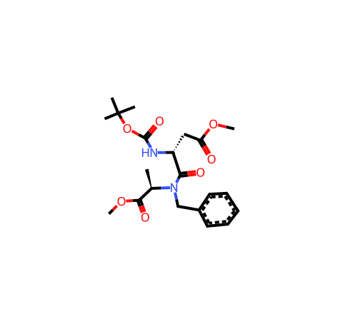 COC(=O)C[C@@H](NC(=O)OC(C)(C)C)C(=O)N(Cc1ccccc1)[C@H](C)C(=O)OC